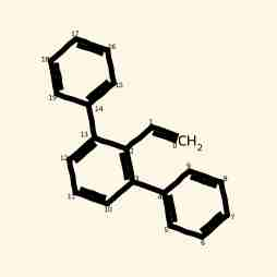 C=Cc1c(-c2ccccc2)cccc1-c1ccccc1